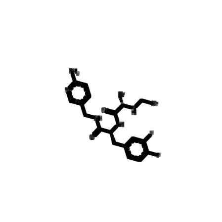 CC(C)CN[C@H](C(=O)N[C@@H](Cc1ccc(F)c(F)c1)C(=O)NCc1ccc(N)nc1)C(C)C